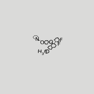 COc1ccc2c(Oc3ccc(OCCN4CCCCC4)cc3)c(-c3cccc(F)c3F)ccc2c1